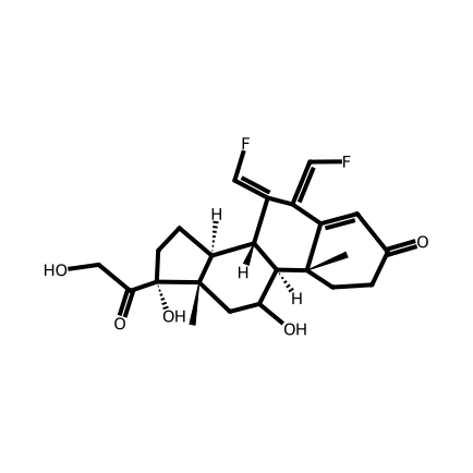 C[C@]12CCC(=O)C=C1C(=CF)C(=CF)[C@@H]1[C@@H]2C(O)C[C@@]2(C)[C@H]1CC[C@]2(O)C(=O)CO